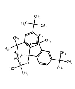 CC(C)(C)c1ccc(C(C)(O[PH](C)(O)O)c2ccc(C(C)(C)C)cc2C(C)(C)C)c(C(C)(C)C)c1